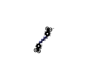 O=[N+]([O-])c1ccc(/C=C/C=C/C=C/c2ccc([N+](=O)[O-])cc2)cc1